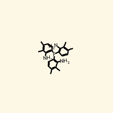 Cc1ccc(P(c2ccc(C)c(C)c2N)c2ccc(C)c(C)c2N)c(N)c1C